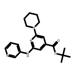 CC(C)(C)OC(=O)c1cc(Nc2cccnc2)nc(N2CCCCC2)c1